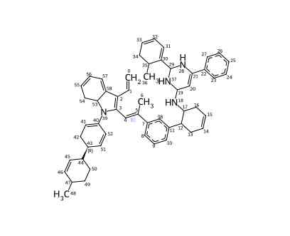 C=CC1=C(/C=C(\C)c2cccc(C3CC=CCC3NC3C=C(c4ccccc4)NC(C4=CC=CCC4C)N3)c2)N(C2=CC[C@H](C3C=CC(C)CC3)C=C2)C2CC=CC=C12